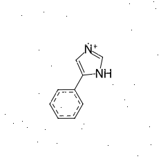 C1=[N+]C=C(c2ccccc2)N1